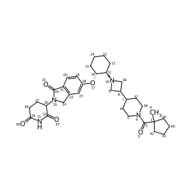 CC1(C(=O)N2CCC(C3CN([C@@H]4CCCC[C@H]4Oc4ccc5c(c4)CN(C4CCC(=O)NC4=O)C5=O)C3)CC2)CCCC1